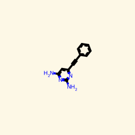 Nc1cc(C#Cc2ccccc2)nc(N)n1